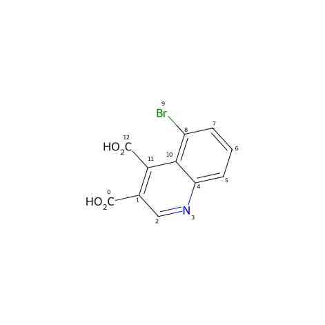 O=C(O)c1cnc2cccc(Br)c2c1C(=O)O